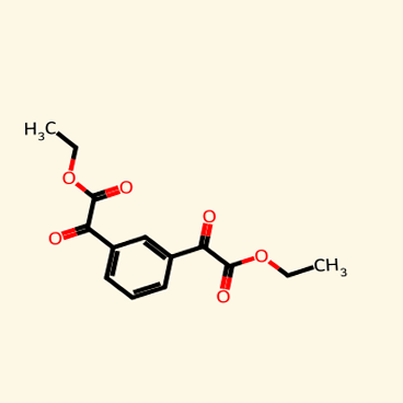 CCOC(=O)C(=O)c1cccc(C(=O)C(=O)OCC)c1